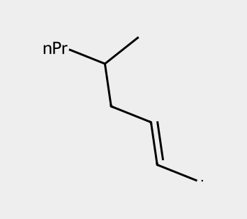 [CH2]/C=C/CC(C)CCC